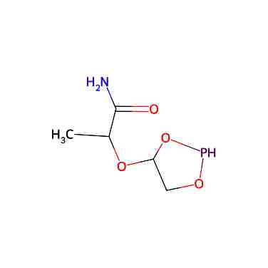 CC(OC1COPO1)C(N)=O